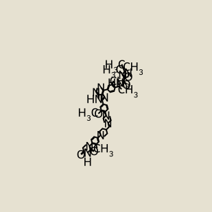 COc1cc(-c2nc3c(-c4ccc(C(C)NC(=O)c5nc(C(C)(C)C)no5)c(C)c4)ncnc3[nH]2)ccc1N1CCN(CC2CCN(c3ccc(N4CCC(=O)NC4=O)c(C)c3)CC2)CC1